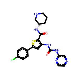 O=C(Nc1cnccn1)Nc1cc(-c2ccc(Cl)cc2)sc1C(=O)N[C@H]1CCCNC1